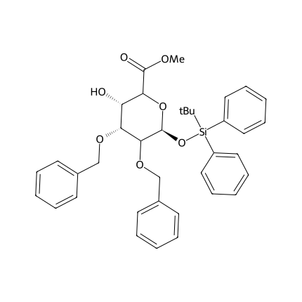 COC(=O)C1O[C@@H](O[Si](c2ccccc2)(c2ccccc2)C(C)(C)C)C(OCc2ccccc2)[C@H](OCc2ccccc2)[C@@H]1O